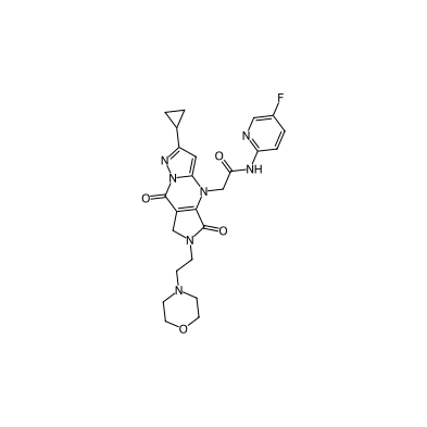 O=C(Cn1c2c(c(=O)n3nc(C4CC4)cc13)CN(CCN1CCOCC1)C2=O)Nc1ccc(F)cn1